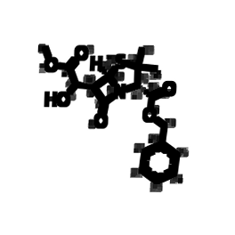 COC(=O)C(O)[C@@H]1C(=O)N2[C@@H]1SC(C)(C)[C@@H]2C(=O)OCc1ccccc1